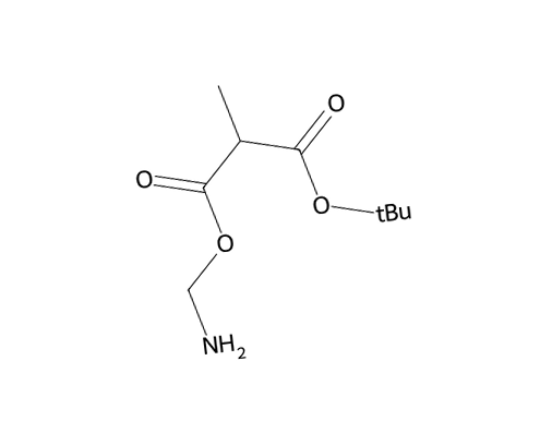 CC(C(=O)OCN)C(=O)OC(C)(C)C